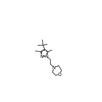 Cc1nn(CCN2CCOCC2)c(C)c1C(C)(C)C